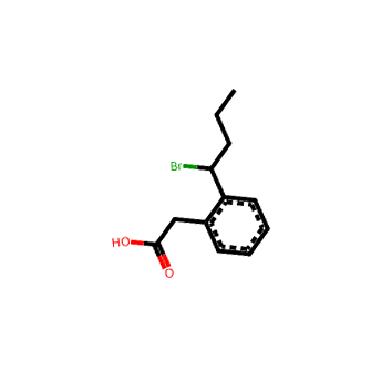 CCCC(Br)c1ccccc1CC(=O)O